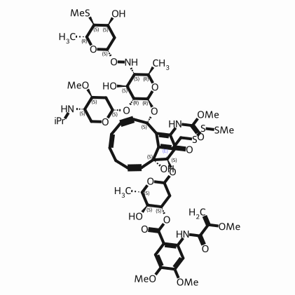 C=C(OC)C(=O)Nc1cc(OC)c(OC)cc1C(=O)O[C@H]1CC(O[C@@H]2C(=O)C(NC(=O)OC)=C3/C(=C\CSSSC)[C@]2(O)C#CCC=CC#C[C@@H]3O[C@@H]2O[C@H](C)[C@@H](NO[C@H]3C[C@H](O)[C@H](SC)[C@@H](C)O3)[C@H](O)[C@H]2O[C@H]2C[C@H](OC)[C@@H](NC(C)C)CO2)O[C@@H](C)[C@@H]1O